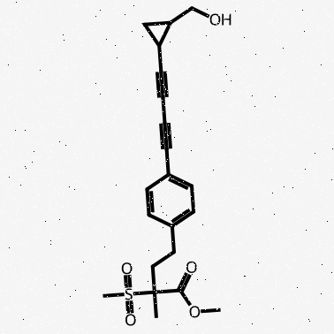 COC(=O)C(C)(CCc1ccc(C#CC#CC2CC2CO)cc1)S(C)(=O)=O